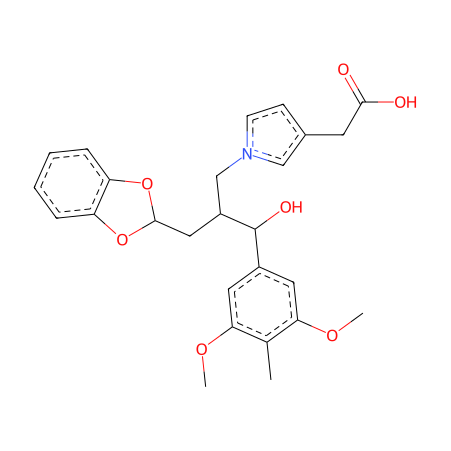 COc1cc(C(O)C(CC2Oc3ccccc3O2)Cn2ccc(CC(=O)O)c2)cc(OC)c1C